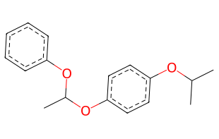 CC(C)Oc1ccc(OC(C)Oc2ccccc2)cc1